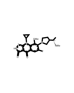 CN[C@@H](C)C1CCN(c2c(F)cc3c(=O)c4c(=O)[nH]sc4n(C4CC4)c3c2OC)C1